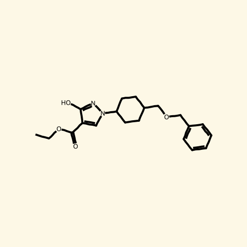 CCOC(=O)c1cn(C2CCC(COCc3ccccc3)CC2)nc1O